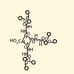 O=C(O)CN1CCN(CC(=O)NCCNC(=O)c2cccc(OCc3ccccc3)c2OCc2ccccc2)CCN(CC(=O)NCCNC(=O)c2cccc(OCc3ccccc3)c2OCc2ccccc2)CCN(CC(=O)NCCNC(=O)c2cccc(OCc3ccccc3)c2OCc2ccccc2)CC1